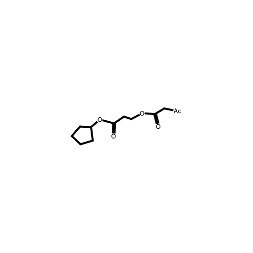 CC(=O)CC(=O)OCCC(=O)OC1CCCC1